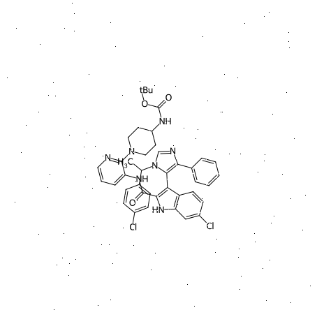 CC(c1ccc(Cl)cc1)n1cnc(-c2ccccc2)c1-c1c(C(=O)Nc2cccnc2N2CCC(NC(=O)OC(C)(C)C)CC2)[nH]c2cc(Cl)ccc12